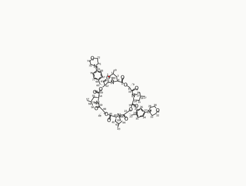 CC(C)CC1C(=O)O[C@H](C)C(=O)N(C)[C@@H](CC(C)C)C(=O)O[C@H](Cc2ccc(N3CCOCC3)cc2)C(=O)N(C)[C@@H](CC(C)C)C(=O)O[C@H](C)C(=O)N(C)[C@@H](CC(C)C)C(=O)O[C@](C=O)(Cc2ccc(N3CCOCC3)cc2)CN1C